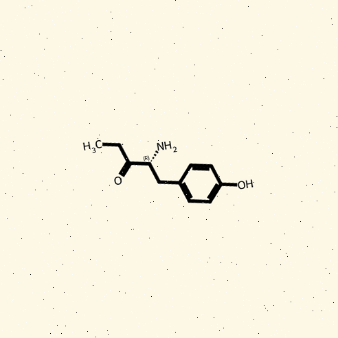 C[CH]C(=O)[C@H](N)Cc1ccc(O)cc1